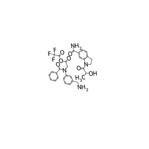 C[C@H](O)C(=O)N1CCc2ccc(C(N)=O)cc21.NCc1cccc(N(CC(=O)OC(=O)C(F)(F)F)C(=O)c2ccccc2)c1